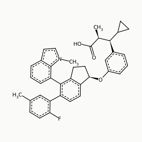 Cc1ccc(F)c(-c2ccc3c(c2-c2cccc4ccn(C)c24)CC[C@H]3Oc2cccc([C@H](C3CC3)[C@H](C)C(=O)O)c2)c1